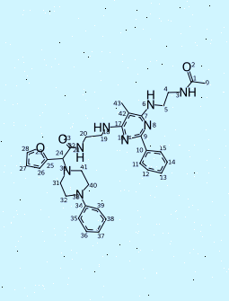 CC(=O)NCCNc1nc(-c2ccccc2)nc(NCCNC(=O)C(c2ccco2)N2CCN(c3ccccc3)CC2)c1C